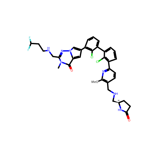 COc1nc(-c2cccc(-c3cccc(-c4cc5c(=O)n(C)c(CNCCC(F)F)nn5c4)c3Cl)c2Cl)ccc1CNC[C@H]1CCC(=O)N1